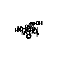 O=C(Nc1ccc(F)cn1)[C@H](CN1CC(O)C1)Oc1nc(-c2ccccc2Cl)nc2[nH]ncc12